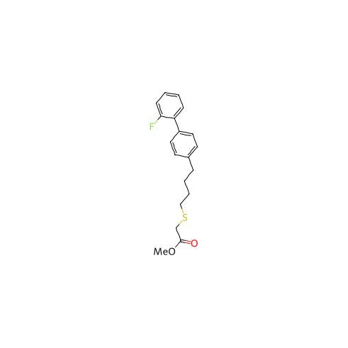 COC(=O)CSCCCCc1ccc(-c2ccccc2F)cc1